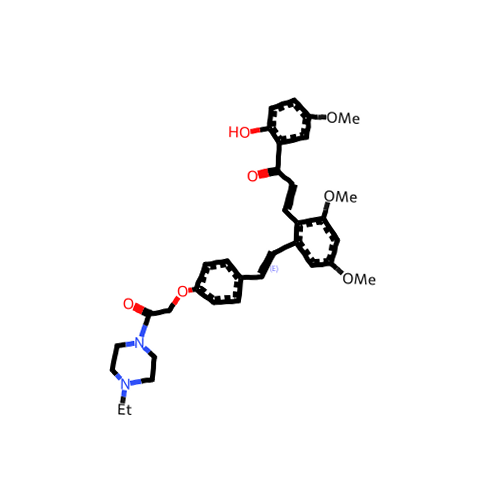 CCN1CCN(C(=O)COc2ccc(/C=C/c3cc(OC)cc(OC)c3C=CC(=O)c3cc(OC)ccc3O)cc2)CC1